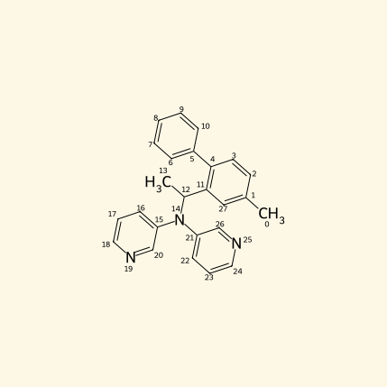 Cc1ccc(-c2ccccc2)c(C(C)N(c2cccnc2)c2cccnc2)c1